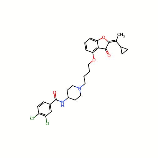 C/C(=C1\Oc2cccc(OCCCCN3CCC(NC(=O)c4ccc(Cl)c(Cl)c4)CC3)c2C1=O)C1CC1